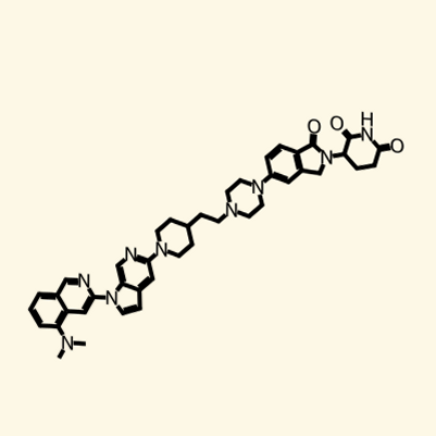 CN(C)c1cccc2cnc(-n3ccc4cc(N5CCC(CCN6CCN(c7ccc8c(c7)CN(C7CCC(=O)NC7=O)C8=O)CC6)CC5)ncc43)cc12